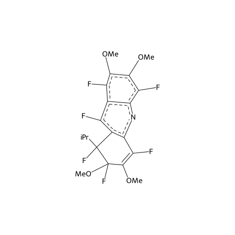 COC1=C(F)c2nc3c(F)c(OC)c(OC)c(F)c3c(F)c2C(F)(C(C)C)C1(F)OC